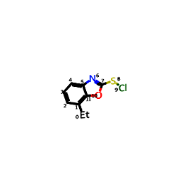 CCc1cccc2nc(SCl)oc12